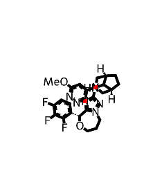 COc1cc(N2C[C@H]3CC[C@@H](C2)C3Nc2nc3n(n2)CCCO[C@@H]3c2ccc(F)c(F)c2F)cnn1